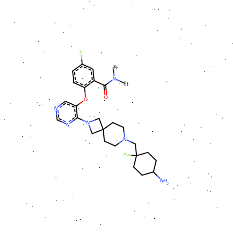 CCN(C(=O)c1cc(F)ccc1Oc1cncnc1N1CC2(CCN(CC3(F)CCC(N)CC3)CC2)C1)C(C)C